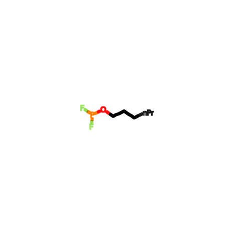 CCCCCCOP(F)F